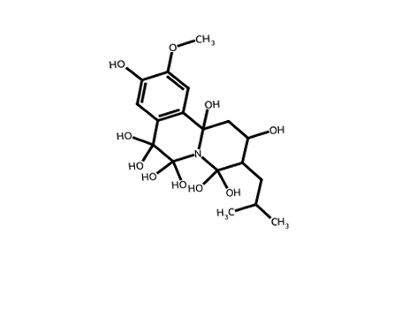 COc1cc2c(cc1O)C(O)(O)C(O)(O)N1C2(O)CC(O)C(CC(C)C)C1(O)O